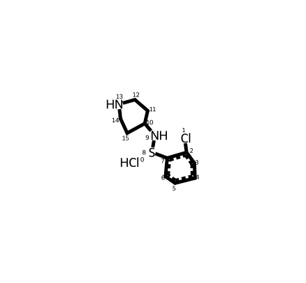 Cl.Clc1ccccc1SNC1CCNCC1